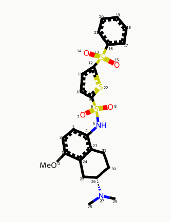 COc1ccc(NS(=O)(=O)c2ccc(S(=O)(=O)c3ccccc3)s2)c2c1C[C@@H](N(C)C)CC2